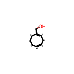 OCC1=CCC=CCCC1